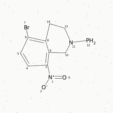 O=[N+]([O-])c1ccc(Br)c2c1CN(P)CC2